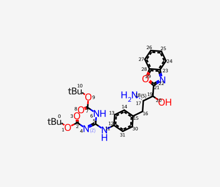 CC(C)(C)OC(=O)/N=C(\NC(=O)OC(C)(C)C)Nc1ccc(C[C@H](N)C(O)c2nc3ccccc3o2)cc1